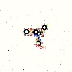 CC(Oc1ccc(F)cc1F)(C(=O)Nc1nc(CC(=O)O)c(F)s1)c1ccc(S(=O)(=O)C2CCCCC2)cc1